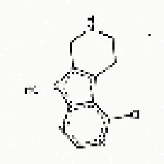 Cl.Clc1ncnc2sc3c(c12)CCNC3